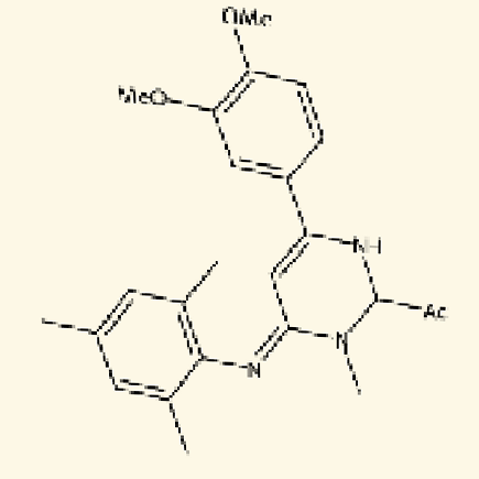 COc1ccc(C2=CC(=Nc3c(C)cc(C)cc3C)N(C)C(C(C)=O)N2)cc1OC